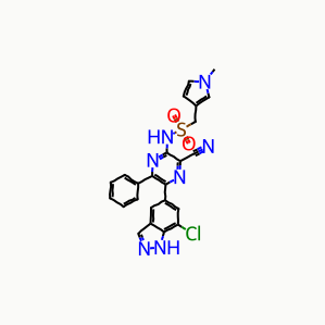 Cn1ccc(CS(=O)(=O)Nc2nc(-c3ccccc3)c(-c3cc(Cl)c4[nH]ncc4c3)nc2C#N)c1